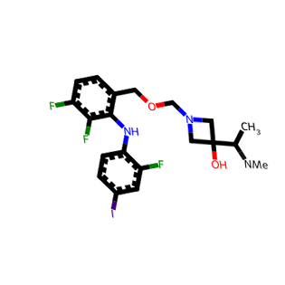 CNC(C)C1(O)CN(COCc2ccc(F)c(F)c2Nc2ccc(I)cc2F)C1